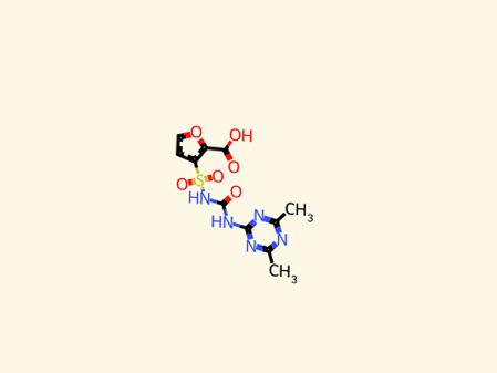 Cc1nc(C)nc(NC(=O)NS(=O)(=O)c2ccoc2C(=O)O)n1